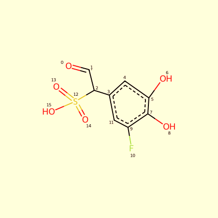 O=[C]C(c1cc(O)c(O)c(F)c1)S(=O)(=O)O